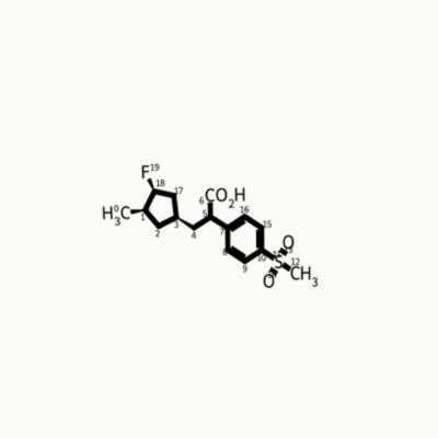 C[C@@H]1C[C@H](CC(C(=O)O)c2ccc(S(C)(=O)=O)cc2)C[C@@H]1F